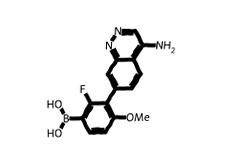 COc1ccc(B(O)O)c(F)c1-c1ccc2c(N)cnnc2c1